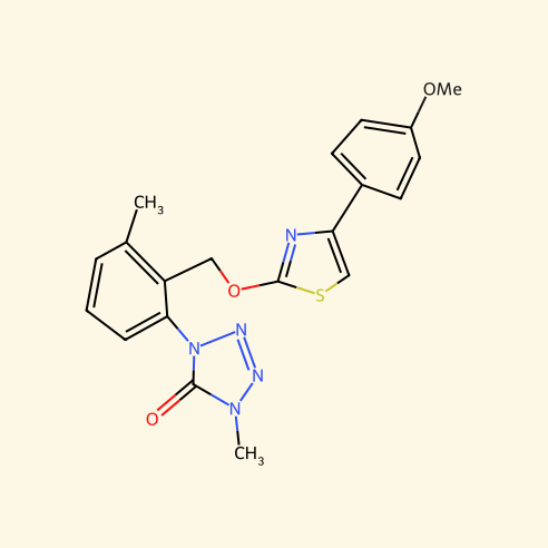 COc1ccc(-c2csc(OCc3c(C)cccc3-n3nnn(C)c3=O)n2)cc1